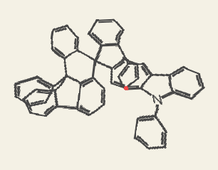 c1ccc(-n2c3ccccc3c3cc(-c4ccccc4C4(c5ccccc5)c5ccccc5C5(c6ccccc6)c6ccccc6-c6cccc4c65)ccc32)cc1